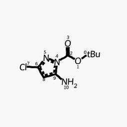 CC(C)(C)OC(=O)n1nc(Cl)cc1N